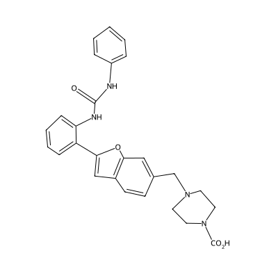 O=C(Nc1ccccc1)Nc1ccccc1-c1cc2ccc(CN3CCN(C(=O)O)CC3)cc2o1